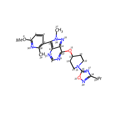 COc1ccc(-c2c3ncnc(OC4CCN(c5nc(C(C)C)no5)CC4)c3nn2C)c(C)n1